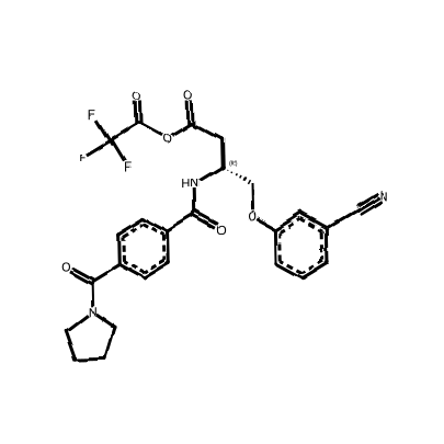 N#Cc1cccc(OC[C@@H](CC(=O)OC(=O)C(F)(F)F)NC(=O)c2ccc(C(=O)N3CCCC3)cc2)c1